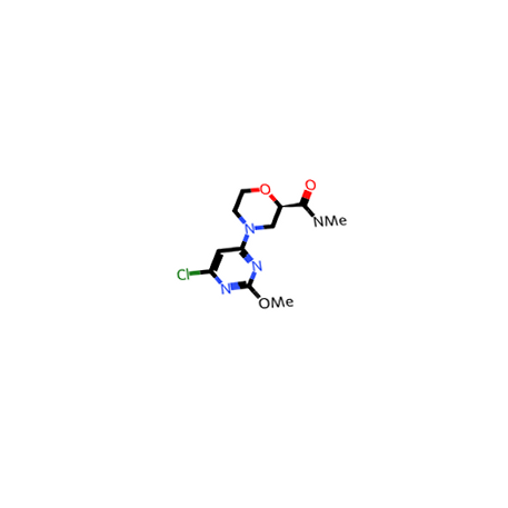 CNC(=O)[C@H]1CN(c2cc(Cl)nc(OC)n2)CCO1